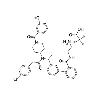 CC(c1cccc(-c2ccccc2C(=O)NCCN)c1)N(C(=O)Cc1ccc(Cl)cc1)C1CCN(C(=O)c2cccc(O)c2)CC1.O=C(O)C(F)(F)F